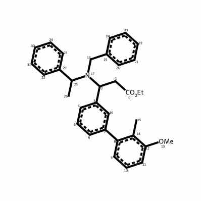 CCOC(=O)CC(c1cccc(-c2cccc(OC)c2C)c1)N(Cc1ccccc1)C(C)c1ccccc1